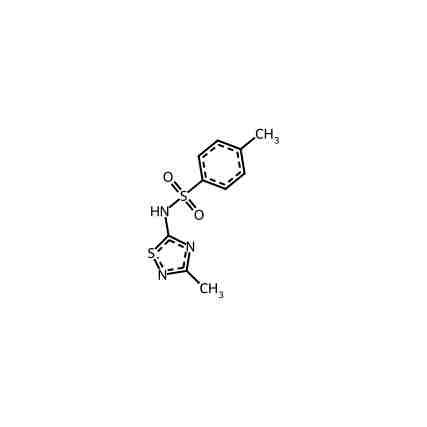 Cc1ccc(S(=O)(=O)Nc2nc(C)ns2)cc1